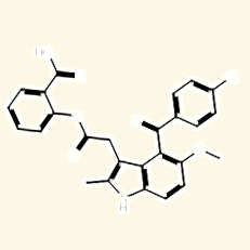 COc1ccc2[nH]c(C)c(CC(=O)Oc3ccccc3C(=O)O)c2c1C(=O)c1ccc(Cl)cc1